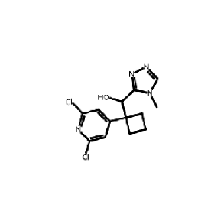 Cn1cnnc1C(O)C1(c2cc(Cl)nc(Cl)c2)CCC1